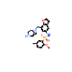 COc1ccc(C)cc1S(=O)(=O)Nc1cc(CN2CC3CC2CN3)c2occc2c1